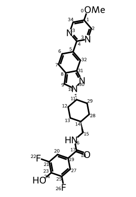 COc1cnc(-c2ccc3cn([C@H]4CC[C@H](CNC(=O)c5cc(F)c(O)c(F)c5)CC4)nc3c2)nc1